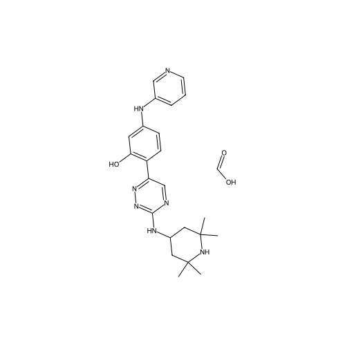 CC1(C)CC(Nc2ncc(-c3ccc(Nc4cccnc4)cc3O)nn2)CC(C)(C)N1.O=CO